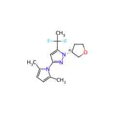 Cc1ccc(C)n1-c1cc(C(C)(F)F)n([C@@H]2CCOC2)n1